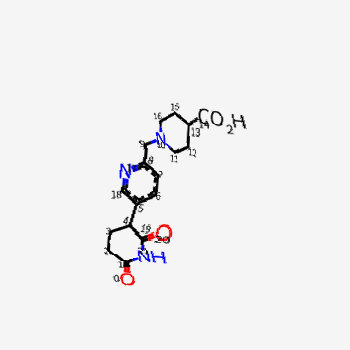 O=C1CCC(c2ccc(CN3CCC(C(=O)O)CC3)nc2)C(=O)N1